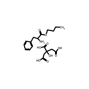 CCCCOC(=O)C(N)Cc1ccccc1.O=C(O)CC(O)(CC(=O)O)C(=O)O